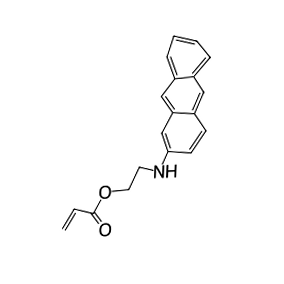 C=CC(=O)OCCNc1ccc2cc3ccccc3cc2c1